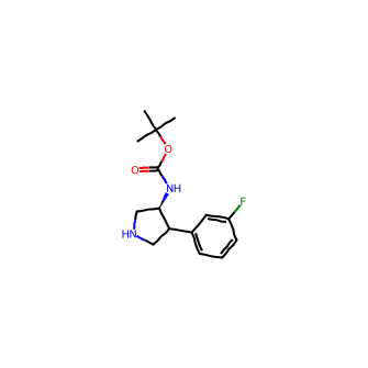 CC(C)(C)OC(=O)N[C@@H]1CNCC1c1cccc(F)c1